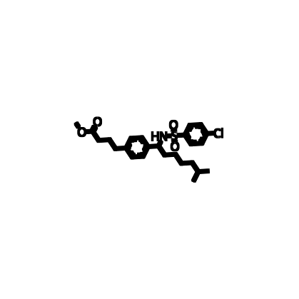 COC(=O)CCCc1ccc(C(CCCCC(C)C)NS(=O)(=O)c2ccc(Cl)cc2)cc1